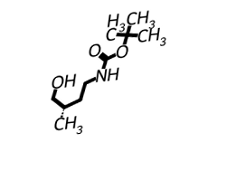 C[C@H](CO)CCNC(=O)OC(C)(C)C